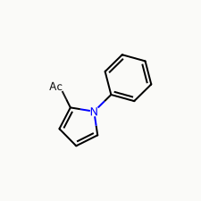 CC(=O)c1cccn1-c1ccccc1